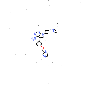 Nc1ncnc2c1c(-c1cccc(OCc3cnccn3)c1)cn2C1CC(CN2CCC2)C1